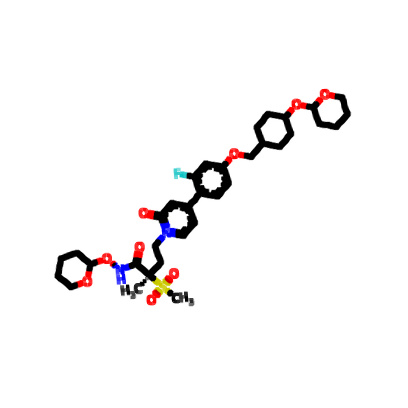 C[C@@](CCn1ccc(-c2ccc(OCC3CCC(OC4CCCCO4)CC3)cc2F)cc1=O)(C(=O)NOC1CCCCO1)S(C)(=O)=O